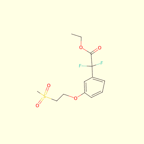 CCOC(=O)C(F)(F)c1cccc(OCCS(C)(=O)=O)c1